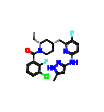 CC[C@@H]1C[C@H](Cc2nc(Nc3cc(C)[nH]n3)ccc2F)CCN1C(=O)c1cccc(Cl)c1F